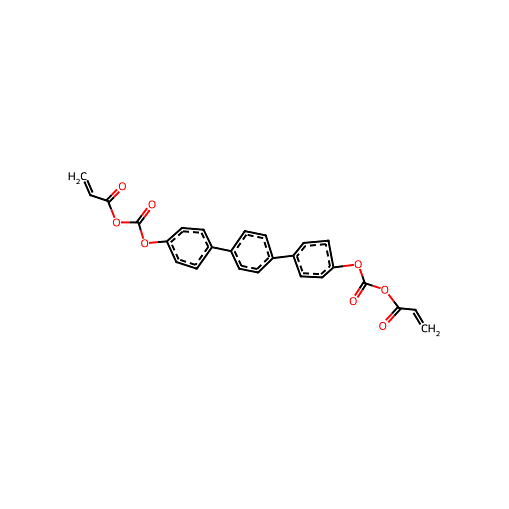 C=CC(=O)OC(=O)Oc1ccc(-c2ccc(-c3ccc(OC(=O)OC(=O)C=C)cc3)cc2)cc1